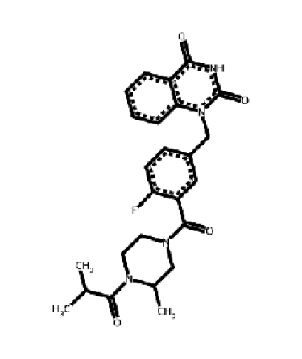 CC(C)C(=O)N1CCN(C(=O)c2cc(Cn3c(=O)[nH]c(=O)c4ccccc43)ccc2F)CC1C